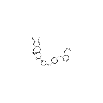 CCc1ccccc1Cc1ccc(OC2CCN(C(=O)CC(N)Cc3cc(F)c(F)cc3F)C2)cc1